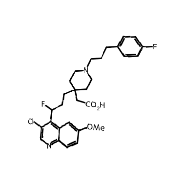 COc1ccc2ncc(Cl)c(C(F)CCC3(CC(=O)O)CCN(CCCc4ccc(F)cc4)CC3)c2c1